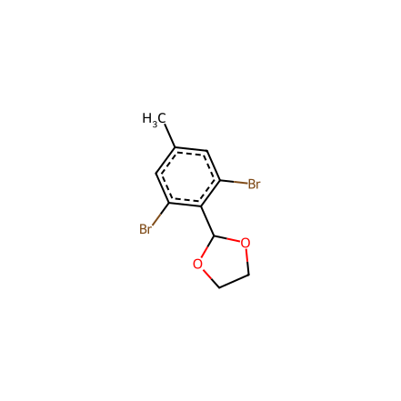 Cc1cc(Br)c(C2OCCO2)c(Br)c1